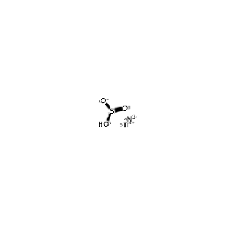 O=[Si]([O-])O.[N-3].[Ti+4]